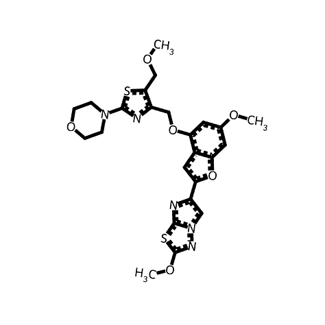 COCc1sc(N2CCOCC2)nc1COc1cc(OC)cc2oc(-c3cn4nc(OC)sc4n3)cc12